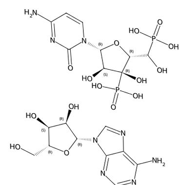 Nc1ccn([C@@H]2O[C@H](C(O)P(=O)(O)O)[C@](O)(P(=O)(O)O)[C@H]2O)c(=O)n1.Nc1ncnc2c1ncn2[C@@H]1O[C@H](CO)[C@@H](O)[C@H]1O